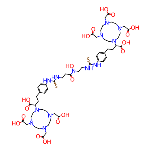 O=C(O)CN1CCN(CC(=O)O)CCN(C(CCc2ccc(NC(=S)NCCC(=O)N(O)CCNC(=S)Nc3ccc(CCC(C(=O)O)N4CCN(CC(=O)O)CCN(CC(=O)O)CCN(CC(=O)O)CC4)cc3)cc2)C(=O)O)CCN(CC(=O)O)CC1